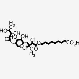 C[C@H]([C@@H]1O[C@H]1C[C@H]1CO[C@@H](CC(C)(Cl)C(Cl)C(=O)OCCCCCCCCC(=O)O)[C@H](O)[C@@H]1O)[C@H](C)O